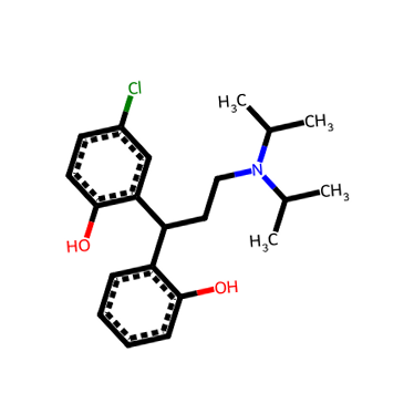 CC(C)N(CCC(c1ccccc1O)c1cc(Cl)ccc1O)C(C)C